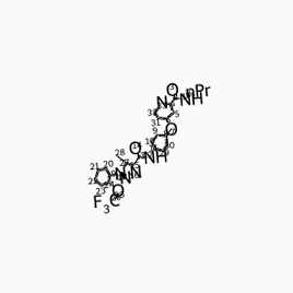 CCCNC(=O)c1cc(Oc2ccc(NC(=O)c3nnn(-c4ccccc4OC(F)(F)F)c3C)cc2)ccn1